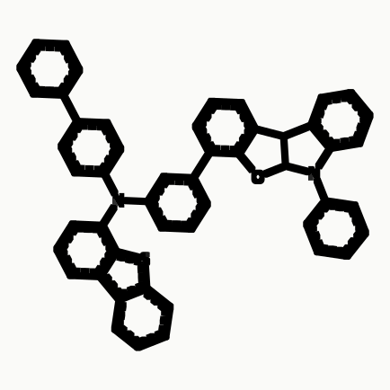 c1ccc(-c2ccc(N(c3cccc(-c4cccc5c4OC4C5c5ccccc5N4c4ccccc4)c3)c3cccc4c3sc3ccccc34)cc2)cc1